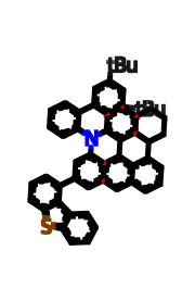 CC(C)(C)c1cc(-c2ccccc2N(c2cccc(-c3cccc4sc5ccccc5c34)c2)c2ccccc2-c2cccc3cccc(C4CCCCC4)c23)cc(C(C)(C)C)c1